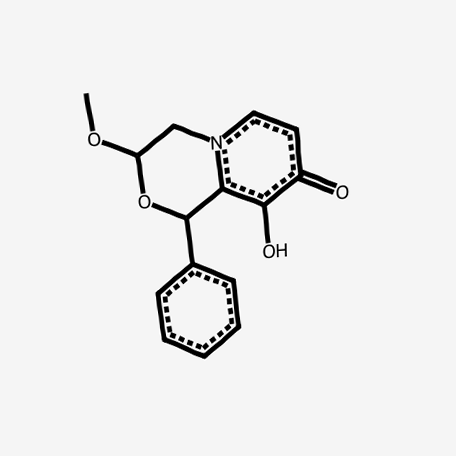 COC1Cn2ccc(=O)c(O)c2C(c2ccccc2)O1